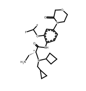 NC[C@H](C(=O)Nc1ccc(N2CCOCC2=O)cc1OC(F)F)N(CC1CC1)C1CCC1